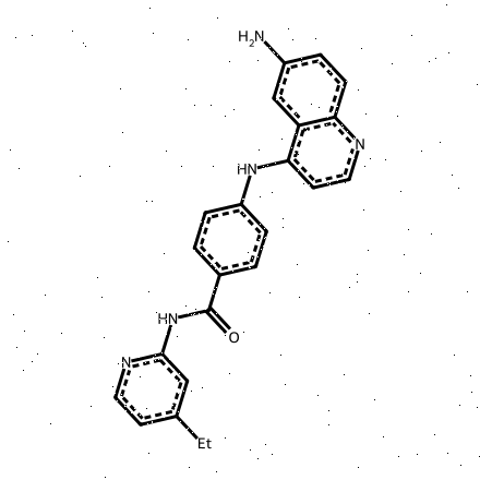 CCc1ccnc(NC(=O)c2ccc(Nc3ccnc4ccc(N)cc34)cc2)c1